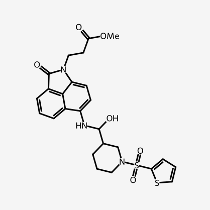 COC(=O)CCN1C(=O)c2cccc3c(NC(O)C4CCCN(S(=O)(=O)c5cccs5)C4)ccc1c23